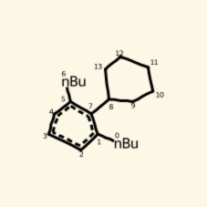 CCCCc1cccc(CCCC)c1C1CCCCC1